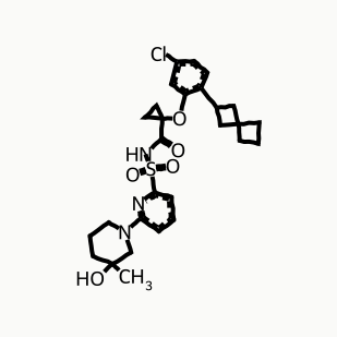 CC1(O)CCCN(c2cccc(S(=O)(=O)NC(=O)C3(Oc4cc(Cl)ccc4C4CC5(CCC5)C4)CC3)n2)C1